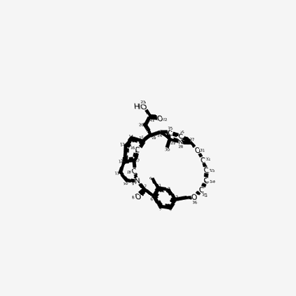 Cc1cc2ccc1C(=O)N1CCc3ccc(cc3C1)C(CC(=O)O)c1ccc(nc1C)OCCCCO2